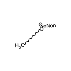 C=CCCCCCCCCCOC(=O)CCCCCCCCC